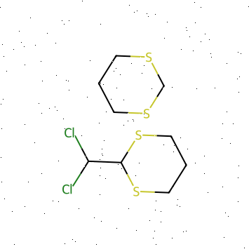 C1CSCSC1.ClC(Cl)C1SCCCS1